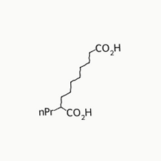 CCCC(CCCCCCCC(=O)O)C(=O)O